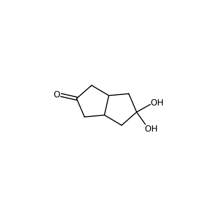 O=C1CC2CC(O)(O)CC2C1